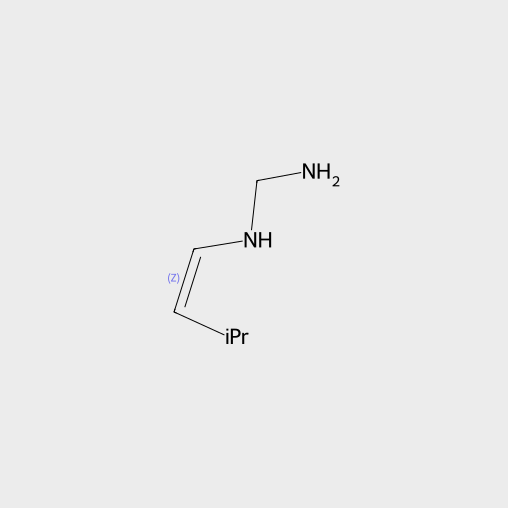 CC(C)/C=C\NCN